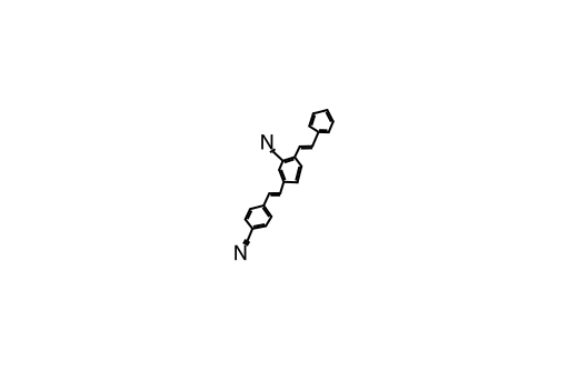 N#Cc1ccc(C=Cc2ccc(C=Cc3ccccc3)c(C#N)c2)cc1